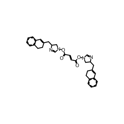 O=C(/C=C/C(=O)ON1C=NC(CC2=Cc3ccccc3CC2)C1)ON1C=NC(CC2=Cc3ccccc3CC2)C1